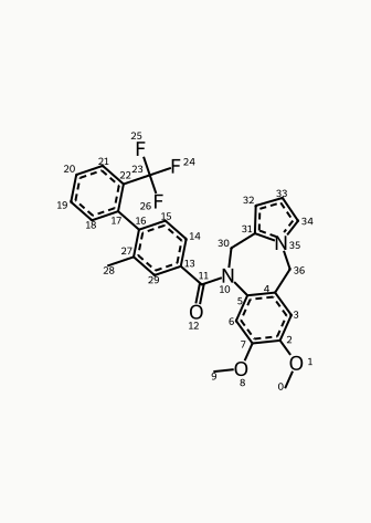 COc1cc2c(cc1OC)N(C(=O)c1ccc(-c3ccccc3C(F)(F)F)c(C)c1)Cc1cccn1C2